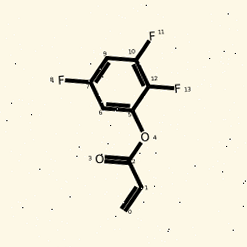 C=CC(=O)Oc1cc(F)cc(F)c1F